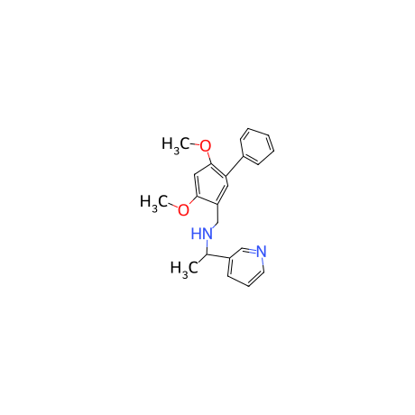 COc1cc(OC)c(-c2ccccc2)cc1CNC(C)c1cccnc1